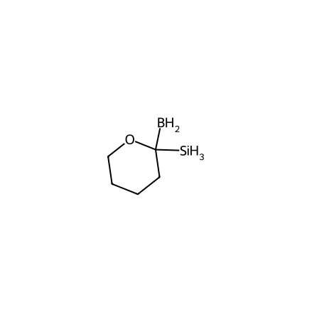 BC1([SiH3])CCCCO1